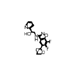 OC(CNc1noc2c(F)c(F)c(C3OCCO3)cc12)c1ccccn1